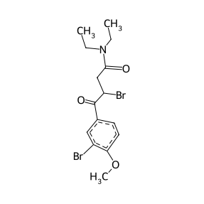 CCN(CC)C(=O)CC(Br)C(=O)c1ccc(OC)c(Br)c1